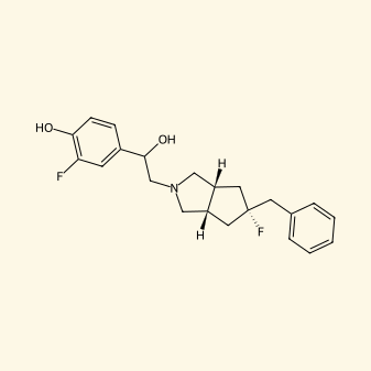 Oc1ccc(C(O)CN2C[C@@H]3C[C@@](F)(Cc4ccccc4)C[C@@H]3C2)cc1F